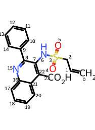 C=CCS(=O)(=O)Nc1c(-c2ccccc2)nc2ccccc2c1C(=O)O